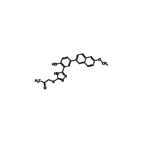 COc1ccc2cc(-c3ccc(O)c(-c4nnc(SCC(C)=O)[nH]4)c3)ccc2c1